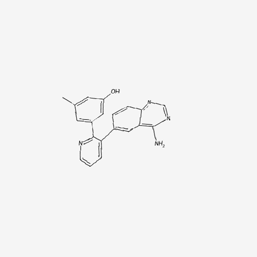 Cc1cc(O)cc(-c2ncccc2-c2ccc3ncnc(N)c3c2)c1